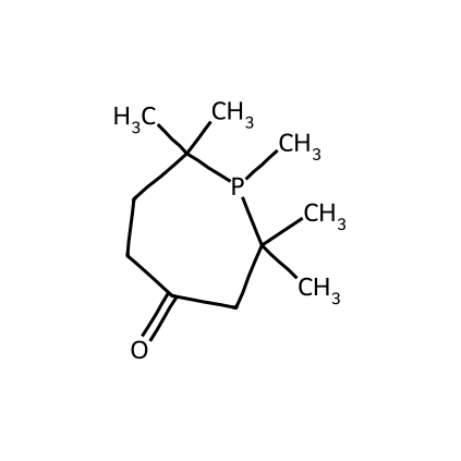 CP1C(C)(C)CCC(=O)CC1(C)C